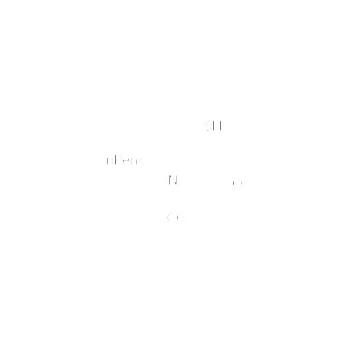 CCCCCN(C(=O)S)C(Cl)(Cl)Cl